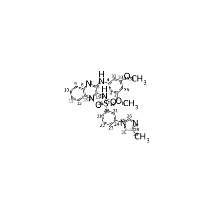 COc1cc(Nc2nc3ccccc3nc2NS(=O)(=O)c2cccc(-n3cnc(C)c3)c2)cc(OC)c1